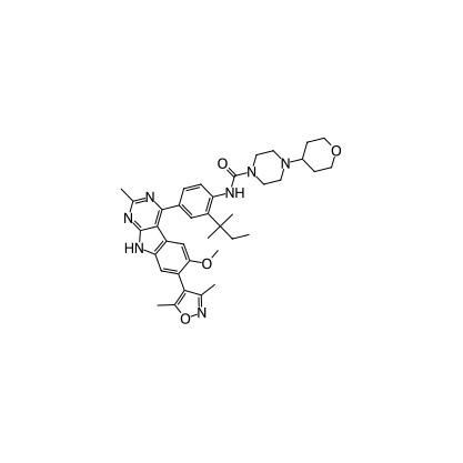 CCC(C)(C)c1cc(-c2nc(C)nc3[nH]c4cc(-c5c(C)noc5C)c(OC)cc4c23)ccc1NC(=O)N1CCN(C2CCOCC2)CC1